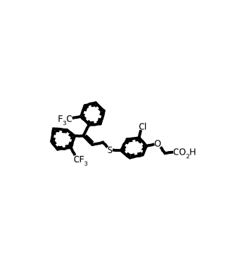 O=C(O)COc1ccc(SCC=C(c2ccccc2C(F)(F)F)c2ccccc2C(F)(F)F)cc1Cl